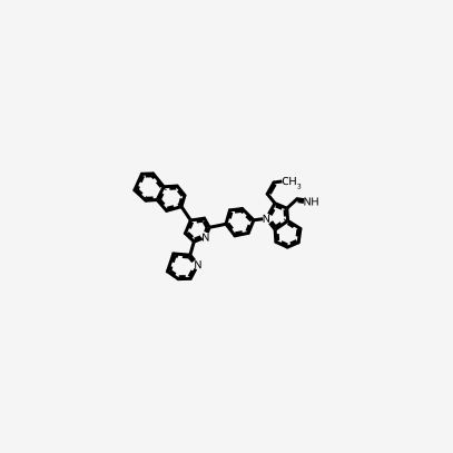 C/C=C\c1c(C=N)c2ccccc2n1-c1ccc(-c2cc(-c3ccc4ccccc4c3)cc(-c3ccccn3)n2)cc1